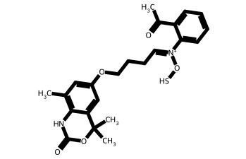 CC(=O)c1ccccc1[N+](=CCCCOc1cc(C)c2c(c1)C(C)(C)OC(=O)N2)OS